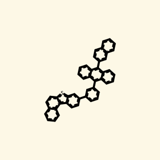 c1cc(-c2ccc3c(c2)sc2ccc4ccccc4c23)cc(-c2c3ccccc3c(-c3ccc4ccccc4c3)c3ccccc23)c1